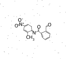 CC1=CC([N+](=O)[O-])=CCC1=NC(=O)c1ccccc1C=O